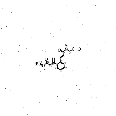 CC(=O)N(C[C]=O)C(=O)/C=C/c1ccccc1NCC(=O)OC(C)(C)C